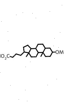 COC1CCC2(C)C(CCC3C4CCC(CCCC(=O)O)C4(C)CCC32)C1